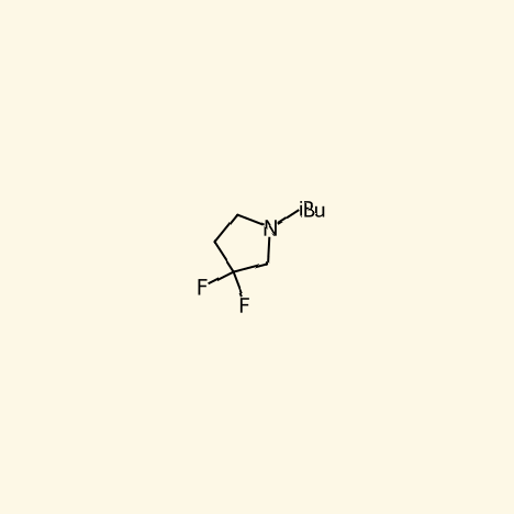 CCC(C)N1CCC(F)(F)C1